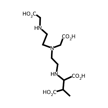 CC(C(=O)O)C(NCCN(CCNCC(=O)O)CC(=O)O)C(=O)O